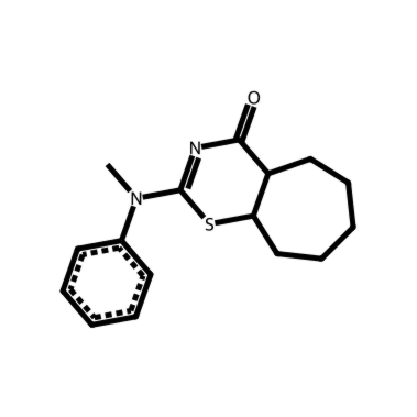 CN(C1=NC(=O)C2CCCCCC2S1)c1ccccc1